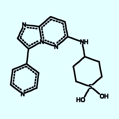 OS1(O)CCC(Nc2ccc3ncc(-c4ccncc4)n3n2)CC1